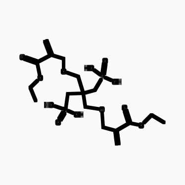 C=C(COCC(COCC(=C)C(=O)OCC)(CP(=O)(O)O)CP(=O)(O)O)C(=O)OCC